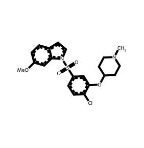 COc1ccc2ccn(S(=O)(=O)c3ccc(Cl)c(OC4CCN(C)CC4)c3)c2c1